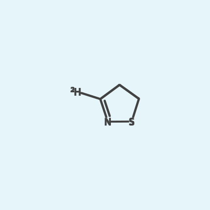 [2H]C1=NSCC1